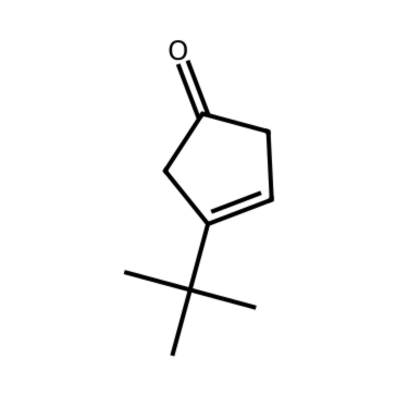 CC(C)(C)C1=CCC(=O)C1